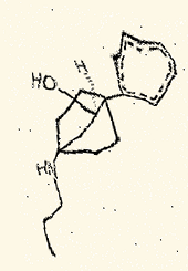 CCCNC12CCC(c3ccccc3)(CC1)[C@H](O)C2